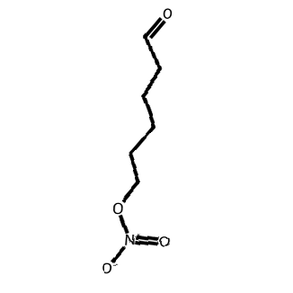 O=CCCCCCO[N+](=O)[O-]